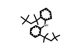 CC(C)(C)CC(C)(C)c1ccccc1Nc1ccccc1C(C)(C)CC(C)(C)C